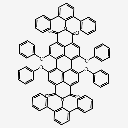 O=C1c2cc(Oc3ccccc3)c3c4c(Oc5ccccc5)cc5c6c(cc(Oc7ccccc7)c(c7c(Oc8ccccc8)cc(c2c37)C(=O)N1c1c(-c2ccccc2)cccc1-c1ccccc1)c64)C(=O)N(c1c(-c2ccccc2)cccc1-c1ccccc1)C5=O